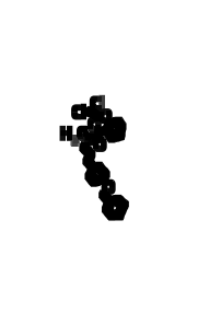 CN(CCCc1ccc(OCc2ccccc2)cc1)C(=O)[C@H](OC(=O)C(Cl)Cl)c1ccccc1